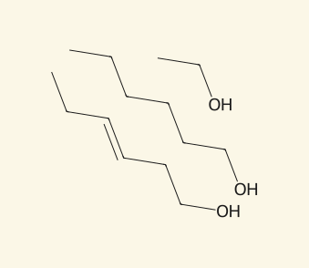 CC/C=C/CCO.CCCCCCO.CCO